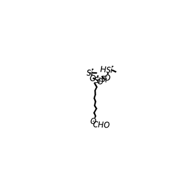 C[SiH](C)CO[Si](C)(C)O[Si](C)(CCCCCCCCCCOC=O)O[Si](C)(C)C